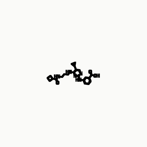 O=C(O)c1cccc(Nc2ncc(C3CC3)c(NCCCNC(=O)C3CCC3)n2)c1